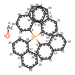 CC(=O)[O-].c1ccc2c([P+](c3cccc4ccccc34)(c3cccc4ccccc34)c3cccc4ccccc34)cccc2c1